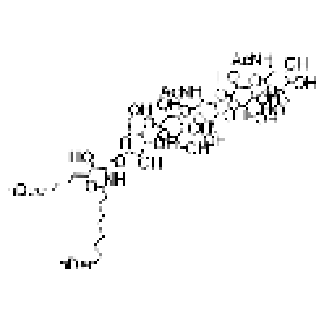 CCCCCCCCCCCCC/C=C/[C@@H](O)[C@H](CO[C@@H]1OC(CO)[C@@H](O[C@@H]2OC(CO)[C@H](O)[C@H](O[C@@H]3OC(CO)[C@@H](O)[C@H](O[C@@H]4OC(CO)[C@H](O)[C@H](O[C@@H]5OC(CO)[C@@H](O)[C@H](O)C5NC(C)=O)C4O)C3NC(C)=O)C2O)[C@H](O)C1O)NC(=O)CCCCCCCCCCCCCCCCC